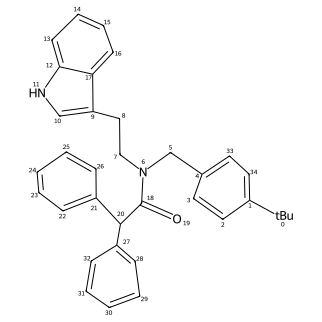 CC(C)(C)c1ccc(CN(CCc2c[nH]c3ccccc23)C(=O)C(c2ccccc2)c2ccccc2)cc1